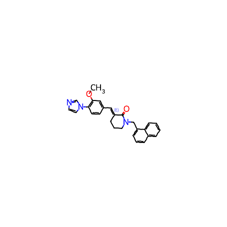 COc1cc(/C=C2\CCCN(Cc3cccc4ccccc34)C2=O)ccc1-n1ccnc1